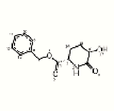 O=C1N[C@H](C(=O)OCc2ccccc2)CC[C@H]1O